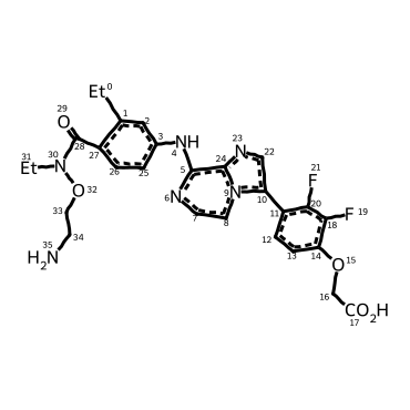 CCc1cc(Nc2nccn3c(-c4ccc(OCC(=O)O)c(F)c4F)cnc23)ccc1C(=O)N(CC)OCCN